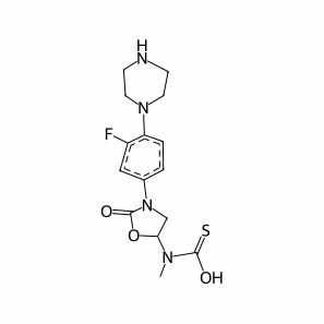 CN(C(O)=S)C1CN(c2ccc(N3CCNCC3)c(F)c2)C(=O)O1